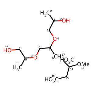 CC(O)COC(C)COC(C)CO.COC(CC(=O)O)C(=O)O